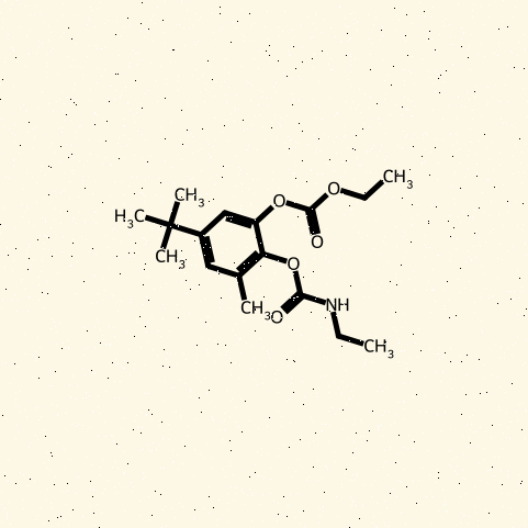 CCNC(=O)Oc1c(C)cc(C(C)(C)C)cc1OC(=O)OCC